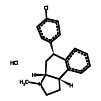 CN1CC[C@@H]2c3ccccc3[C@@H](c3ccc(Cl)cc3)C[C@H]21.Cl